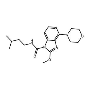 COc1nc2c(N3CCOCC3)cccc2n1C(=O)NCCC(C)C